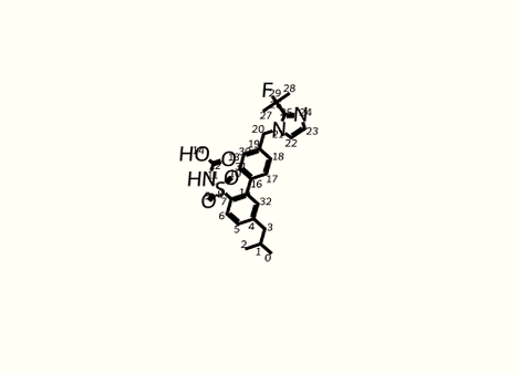 CC(C)Cc1ccc(S(=O)(=O)NC(=O)O)c(-c2ccc(Cn3ccnc3C(C)(C)F)cc2)c1